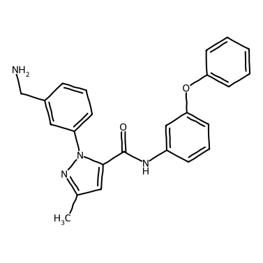 Cc1cc(C(=O)Nc2cccc(Oc3ccccc3)c2)n(-c2cccc(CN)c2)n1